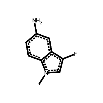 Cn1cc(F)c2cc(N)ccc21